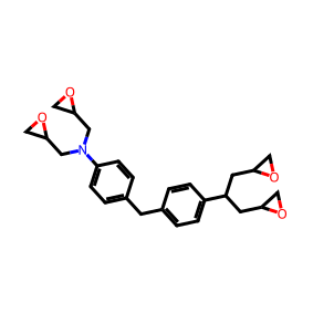 c1cc(C(CC2CO2)CC2CO2)ccc1Cc1ccc(N(CC2CO2)CC2CO2)cc1